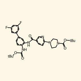 CC(C)(C)OC(=O)Nc1ccc(-c2cc(F)cc(F)c2)cc1NC(=O)c1ccc(N2CCN(C(=O)OC(C)(C)C)CC2)nc1